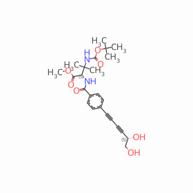 COC(=O)[C@@H](NC(=O)c1ccc(C#CC#C[C@H](O)CO)cc1)C(C)(C)NC(=O)OC(C)(C)C